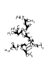 CC(=O)OC[C@H](COP(=O)(ON)OCC(COC(=O)CC(C)C)OC(=O)CC(C)C)OC(C)=O